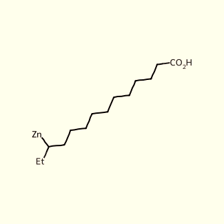 CC[CH]([Zn])CCCCCCCCCCC(=O)O